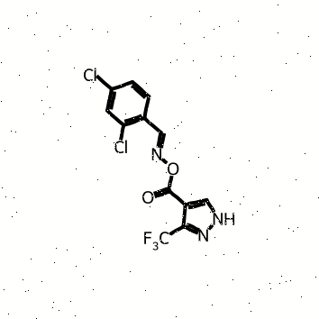 O=C(O/N=C/c1ccc(Cl)cc1Cl)c1c[nH]nc1C(F)(F)F